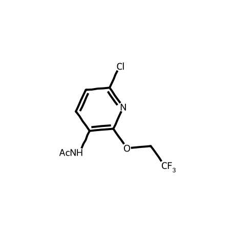 CC(=O)Nc1ccc(Cl)nc1OCC(F)(F)F